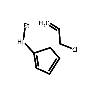 C=CCCl.C[CH2][Hf][C]1=CC=CC1